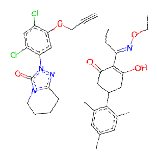 C#CCOc1cc(-n2nc3n(c2=O)CCCC3)c(Cl)cc1Cl.CCO/N=C(\CC)C1=C(O)CC(c2c(C)cc(C)cc2C)CC1=O